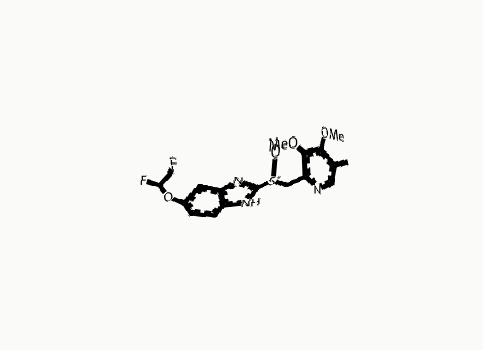 COc1c(C)cnc(C[S+]([O-])c2nc3cc(OC(F)F)ccc3[nH]2)c1OC